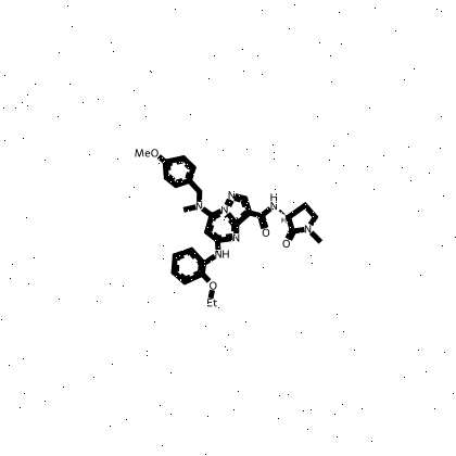 CCOc1ccccc1Nc1cc(N(C)Cc2ccc(OC)cc2)n2ncc(C(=O)N[C@@H]3CCN(C)C3=O)c2n1